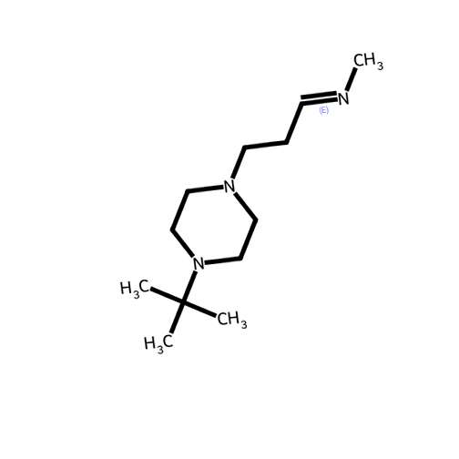 C/N=C/CCN1CCN(C(C)(C)C)CC1